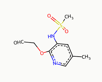 Cc1cnc(OCC=O)c(NS(C)(=O)=O)c1